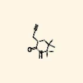 C#CCC1CC(C)(C)C(C)(C)NC1=O